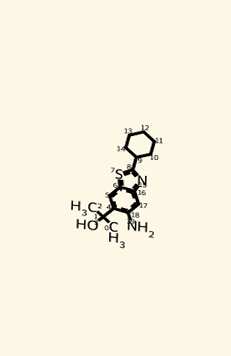 CC(C)(O)c1cc2sc(C3CCCCC3)nc2cc1N